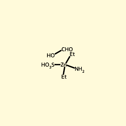 C[CH2][Zn]([NH2])([CH2]C)[S](=O)(=O)O.O=CO